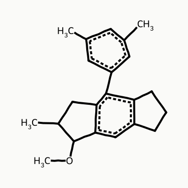 COC1c2cc3c(c(-c4cc(C)cc(C)c4)c2CC1C)CCC3